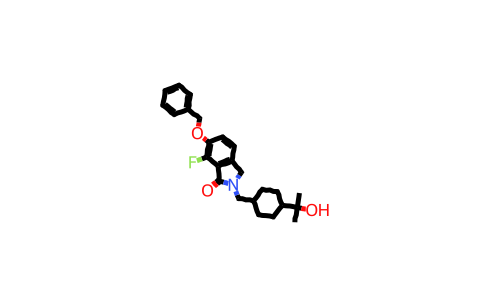 CC(C)(O)C1CCC(CN2Cc3ccc(OCc4ccccc4)c(F)c3C2=O)CC1